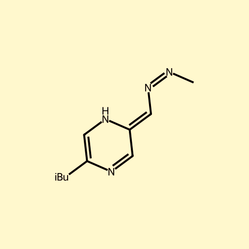 CCC(C)C1=CN/C(=C\N=N/C)C=N1